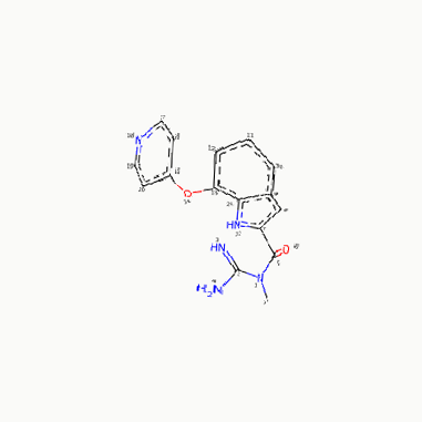 CN(C(=N)N)C(=O)c1cc2cccc(Oc3ccncc3)c2[nH]1